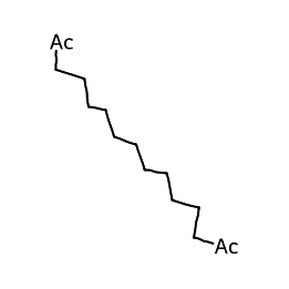 CC(=O)CCCCCCCCCCCC(C)=O